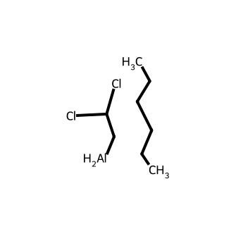 CCCCCC.[AlH2][CH2]C(Cl)Cl